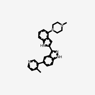 Cc1ccncc1-c1ccc2[nH]nc(-c3cc4c(N5CCN(C)CC5)cccc4[nH]3)c2c1